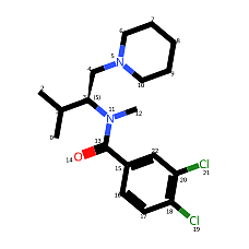 CC(C)[C@@H](CN1CCCCC1)N(C)C(=O)c1ccc(Cl)c(Cl)c1